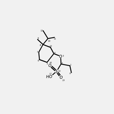 CCC(OC1CCCC(C)(C(C)C)C1)S(=O)(=O)O